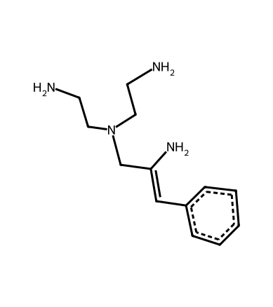 NCCN(CCN)CC(N)=Cc1ccccc1